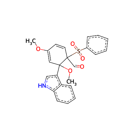 COC1=CC(OC)(c2c[nH]c3ccccc23)C(C=O)(S(=O)(=O)c2ccccc2)C=C1